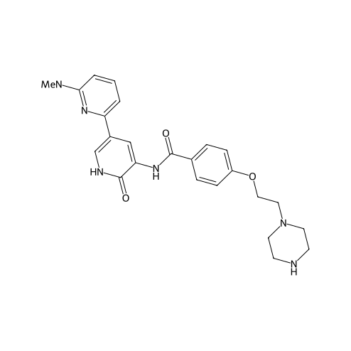 CNc1cccc(-c2c[nH]c(=O)c(NC(=O)c3ccc(OCCN4CCNCC4)cc3)c2)n1